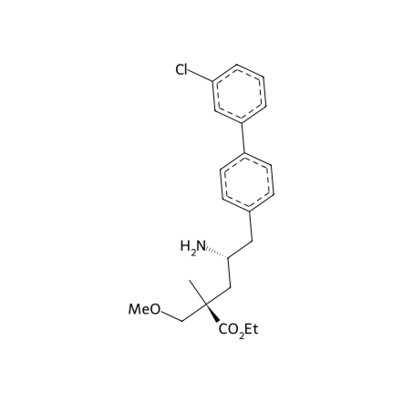 CCOC(=O)[C@](C)(COC)C[C@H](N)Cc1ccc(-c2cccc(Cl)c2)cc1